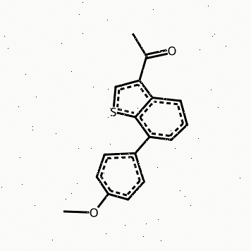 COc1ccc(-c2cccc3c(C(C)=O)csc23)cc1